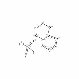 CS(=O)(=O)O.c1ccc2c(c1)OCCO2